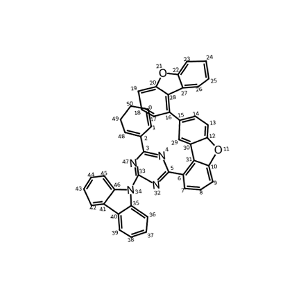 C1=CC(c2nc(-c3cccc4oc5ccc(-c6cccc7oc8ccccc8c67)cc5c34)nc(-n3c4ccccc4c4ccccc43)n2)=CCC1